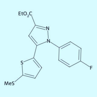 CCOC(=O)c1cc(-c2ccc(SC)s2)n(-c2ccc(F)cc2)n1